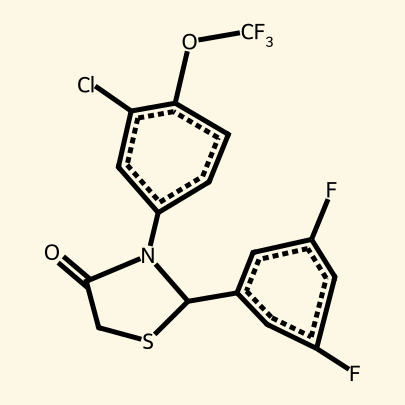 O=C1CSC(c2cc(F)cc(F)c2)N1c1ccc(OC(F)(F)F)c(Cl)c1